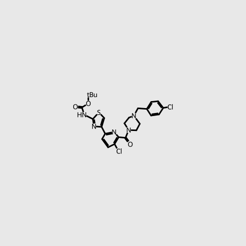 CC(C)(C)OC(=O)Nc1nc(-c2ccc(Cl)c(C(=O)N3CCN(Cc4ccc(Cl)cc4)CC3)n2)cs1